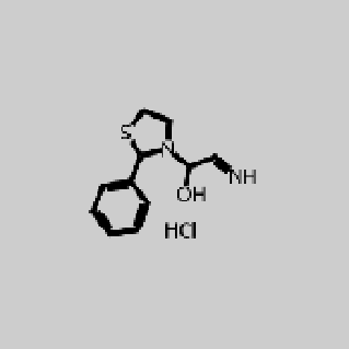 Cl.N=CC(O)N1CCSC1c1ccccc1